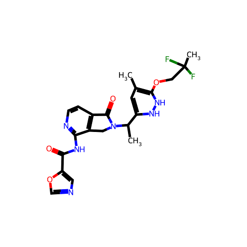 CC1=C(OCC(C)(F)F)NNC(C(C)N2Cc3c(ccnc3NC(=O)c3cnco3)C2=O)=C1